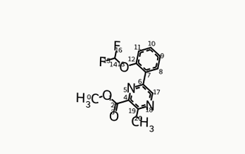 COC(=O)c1nc(-c2ccccc2OC(F)F)cnc1C